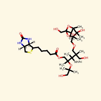 CC(=O)NC(C)(C(C)(CO)COCC1(C)OC2(CO)OC(C)(C1(C)O)C2(C)O)C(C)(COC(=O)CCCCC1SC[C@@H]2NC(=O)N[C@H]12)OC(C)(C)CO